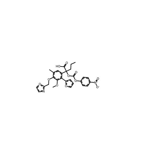 CCCC(OC(=O)Oc1ccc([N+](=O)[O-])cc1)(C(=O)O)c1cc(C)c(OCc2ncco2)c(OC)c1-c1ccco1